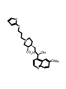 COc1ccc2nccc([C@H](O)CC[C@@H]3CCN(CCCSc4cccs4)C[C@@H]3C(=O)O)c2c1